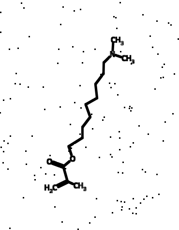 C=C(C)C(=O)OCCCCCCCCCN(C)C